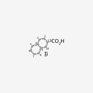 O=C(O)c1ccc2ccccc2c1.[Ti]